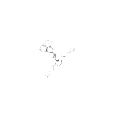 NCCCCn1cc[n+](CCCCN)c1/N=N/c1cc2c3c(c1)OCCN3CCO2